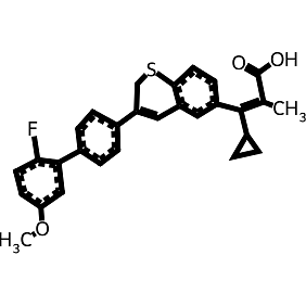 COc1ccc(F)c(-c2ccc(C3=Cc4cc(C(=C(C)C(=O)O)C5CC5)ccc4SC3)cc2)c1